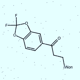 CCCCCCCCCCCC(=O)c1ccc2c(c1)OC(F)(F)O2